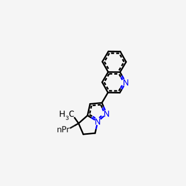 CCCC1(C)CCn2nc(-c3cnc4ccccc4c3)cc21